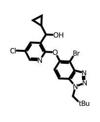 CC(C)(C)Cn1nnc2c(Br)c(Oc3ncc(Cl)cc3C(O)C3CC3)ccc21